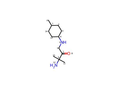 CC1CCC(NCC(=O)C(C)(C)N)CC1